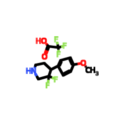 COc1ccc(C2CCNCC2(F)F)cc1.O=C(O)C(F)(F)F